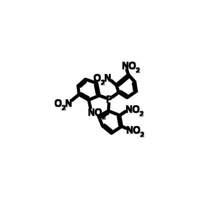 O=[N+]([O-])c1cccc(P(c2cccc([N+](=O)[O-])c2[N+](=O)[O-])c2cccc([N+](=O)[O-])c2[N+](=O)[O-])c1[N+](=O)[O-]